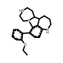 CCOc1ccccc1-c1ccc2c3c1N1CCNCCC1C3CCCN2